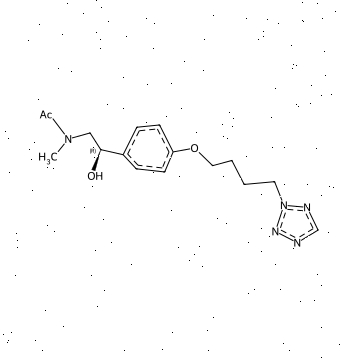 CC(=O)N(C)C[C@H](O)c1ccc(OCCCCn2ncnn2)cc1